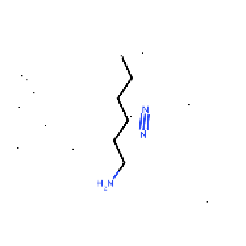 CCCCCCN.N#N